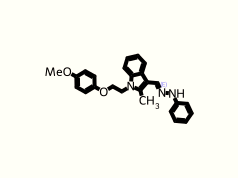 COc1ccc(OCCn2c(C)c(/C=N/Nc3ccccc3)c3ccccc32)cc1